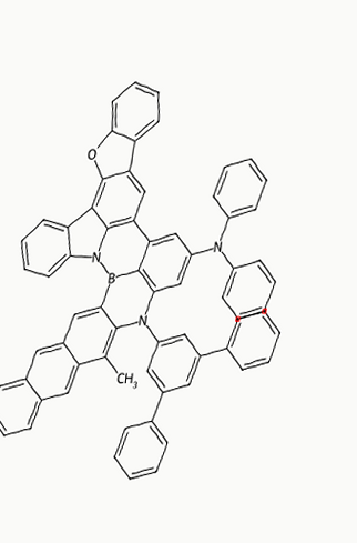 Cc1c2c(cc3cc4ccccc4cc13)B1c3c(cc(N(c4ccccc4)c4ccccc4)cc3N2c2cc(-c3ccccc3)cc(-c3ccccc3)c2)-c2cc3c4ccccc4oc3c3c4ccccc4n1c23